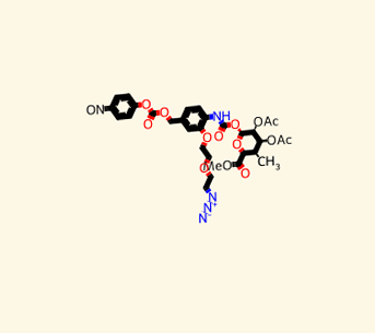 COC(=O)C1O[C@@H](OC(=O)Nc2ccc(COC(=O)Oc3ccc(N=O)cc3)cc2OCCOCCN=[N+]=[N-])[C@H](OC(C)=O)[C@@H](OC(C)=O)[C@@H]1C